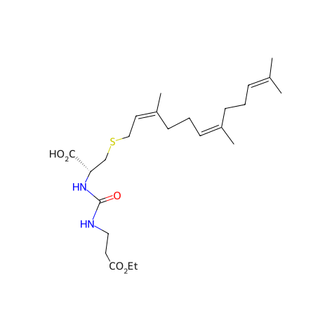 CCOC(=O)CCNC(=O)N[C@@H](CSCC=C(C)CCC=C(C)CCC=C(C)C)C(=O)O